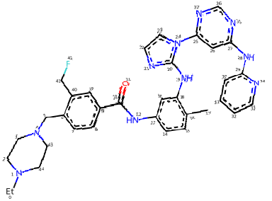 CCN1CCN(Cc2ccc(C(=O)Nc3ccc(C)c(Nc4nccn4-c4cc(Nc5ccccn5)ncn4)c3)cc2CF)CC1